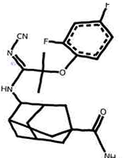 CC(C)(Oc1ccc(F)cc1F)/C(=N\C#N)NC1C2CC3CC1CC(C(N)=O)(C3)C2